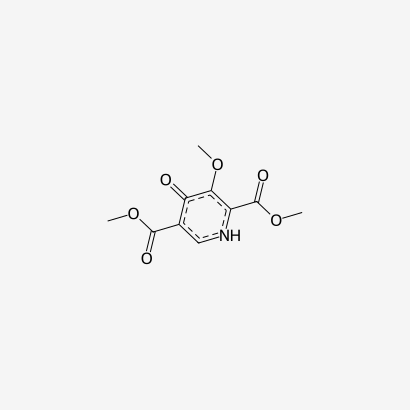 COC(=O)c1[nH]cc(C(=O)OC)c(=O)c1OC